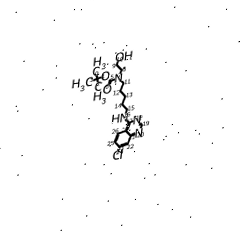 CC(C)(C)OC(=O)N(CCO)CCCCCNc1ncnc2cc(Cl)ccc12